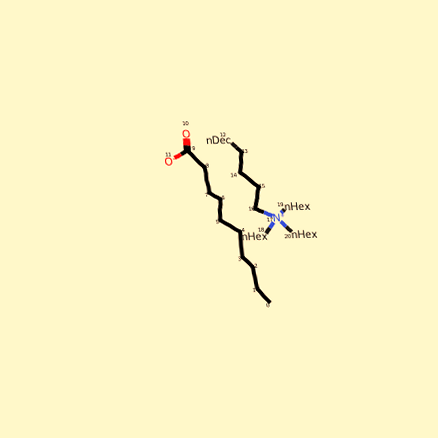 CCCCCCCCCC(=O)[O-].CCCCCCCCCCCCCC[N+](CCCCCC)(CCCCCC)CCCCCC